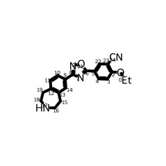 CCOc1ccc(-c2nc(-c3ccc4c(c3)CCNCC4)no2)cc1C#N